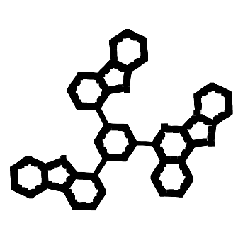 c1ccc2c(c1)sc1c(-c3cc(-c4nc5c(nc6ccccn65)c5ccccc45)cc(-c4cccc5c4sc4ccccc45)c3)cccc12